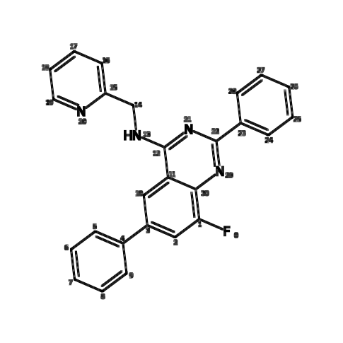 Fc1cc(-c2ccccc2)cc2c(NCc3ccccn3)nc(-c3ccccc3)nc12